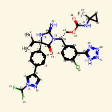 C=C(C(C)(C)C)[C@]1(c2ccc(-c3cnn(C(F)F)c3)cc2)NC(=N)N([C@H](COC(=O)NC2(C(F)(F)F)CC2)c2ccc(Cl)c(-c3nnn[nH]3)c2)C1=O